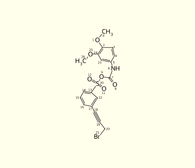 COc1ccc(NC(=O)OS(=O)(=O)c2cccc(C#CCBr)c2)cc1OC